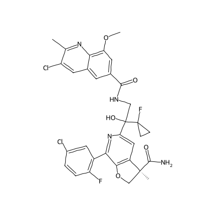 COc1cc(C(=O)NCC(O)(c2cc3c(c(-c4cc(Cl)ccc4F)n2)OC[C@]3(C)C(N)=O)C2(F)CC2)cc2cc(Cl)c(C)nc12